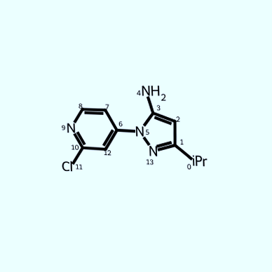 CC(C)c1cc(N)n(-c2ccnc(Cl)c2)n1